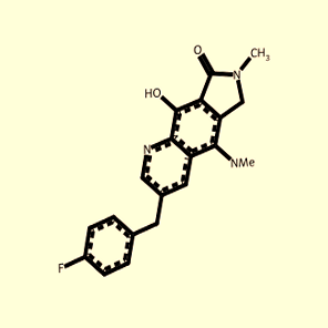 CNc1c2c(c(O)c3ncc(Cc4ccc(F)cc4)cc13)C(=O)N(C)C2